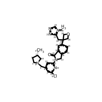 C[C@H]1CCN(Cc2cc(Cl)nc(N3Cc4ccc(C5(Cc6nncn6C)COC5)cc4C3=O)c2)C1